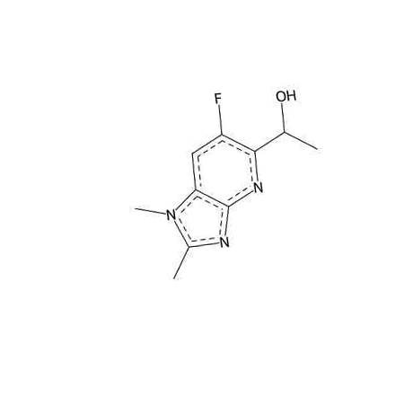 Cc1nc2nc(C(C)O)c(F)cc2n1C